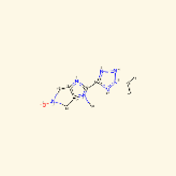 CC(C)n1nnc(-c2nc3c(n2C)CN(O)C3)n1